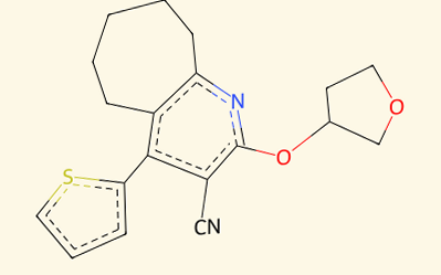 N#Cc1c(OC2CCOC2)nc2c(c1-c1cccs1)CCCCC2